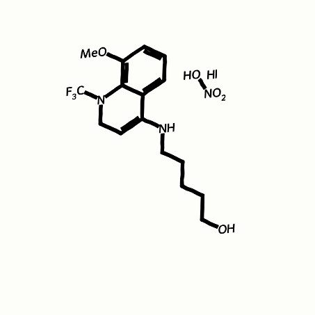 COc1cccc2c1N(C(F)(F)F)CC=C2NCCCCCO.I.O=[N+]([O-])O